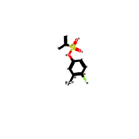 C=C(C)S(=O)(=O)Oc1ccc(F)c(C(F)(F)F)c1